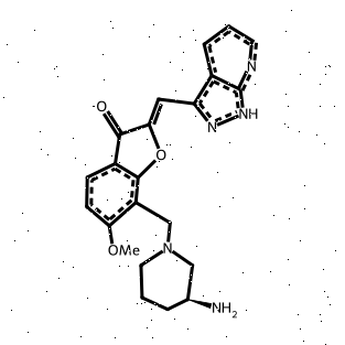 COc1ccc2c(c1CN1CCC[C@H](N)C1)OC(=Cc1n[nH]c3ncccc13)C2=O